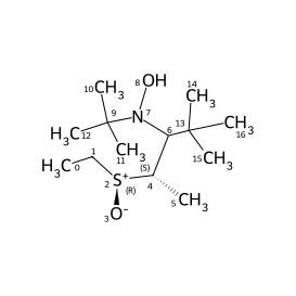 CC[S@+]([O-])[C@@H](C)C(N(O)C(C)(C)C)C(C)(C)C